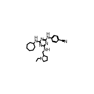 CCN1CCCC1CNc1nc(Nc2ccc(C#N)cc2)nc(NC2CCCCCC2)n1